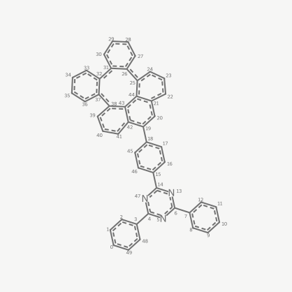 c1ccc(-c2nc(-c3ccccc3)nc(-c3ccc(-c4cc5cccc6c7ccccc7c7ccccc7c7cccc4c7c56)cc3)n2)cc1